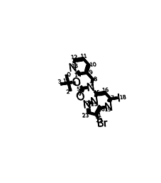 CC(C)(C)OC(=O)N(Cc1cccnc1)c1cc(I)nc2c(Br)cnn12